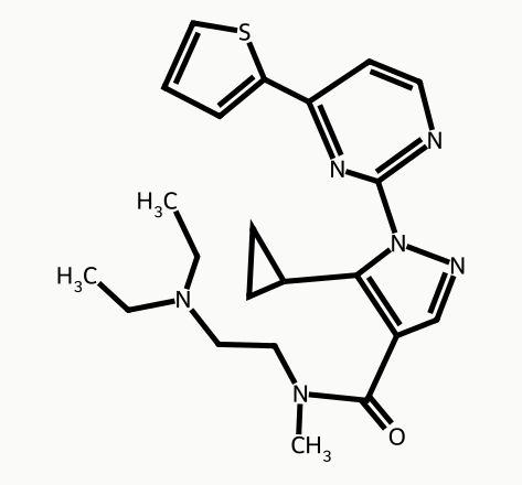 CCN(CC)CCN(C)C(=O)c1cnn(-c2nccc(-c3cccs3)n2)c1C1CC1